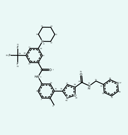 Cc1ccc(NC(=O)c2cc(N3CCCCC3)cc(C(F)(F)F)c2)cc1-c1cc(C(=O)NCc2cccnc2)on1